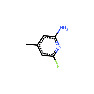 Cc1cc(N)nc(F)c1